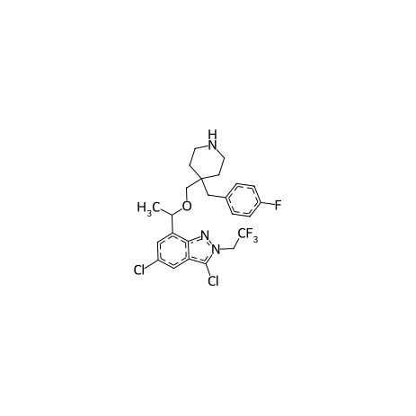 CC(OCC1(Cc2ccc(F)cc2)CCNCC1)c1cc(Cl)cc2c(Cl)n(CC(F)(F)F)nc12